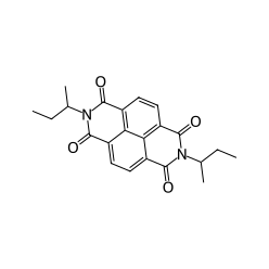 CCC(C)N1C(=O)c2ccc3c4c(ccc(c24)C1=O)C(=O)N(C(C)CC)C3=O